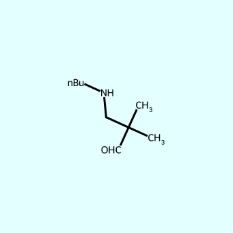 CCCCNCC(C)(C)C=O